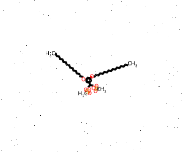 CCCCCCCCCCCCCCCCCCOc1cc(OCCCCCCCCCCCCCCCCCC)cc(C(COS(C)(=O)=O)COS(C)(=O)=O)c1